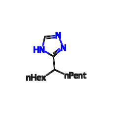 CCCCCCC(CCCCC)c1nnc[nH]1